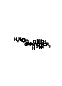 Cc1nnc2sc(C(=O)NC3CN(C(=O)Oc4ccc(N)cc4)C3)c(N)c2c1C